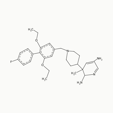 CCOc1cc(CN2CCC(C3(C)C=C(N)C=NC3N)CC2)cc(OCC)c1-c1ccc(F)cc1